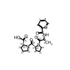 C[C@H](NC(=O)c1ccccn1)C(=O)N1CCC[C@H]1C(=O)N1CCC[C@H]1C(=O)O